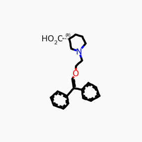 O=C(O)[C@@H]1CCCN(CCOC=C(c2ccccc2)c2ccccc2)C1